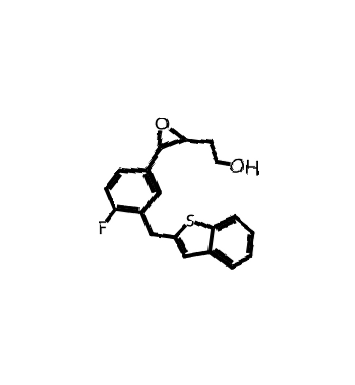 OCCC1OC1c1ccc(F)c(Cc2cc3ccccc3s2)c1